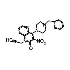 C#CCn1c(=O)c([N+](=O)[O-])c(N2CCN(Cc3ccccc3)CC2)c2ncccc21